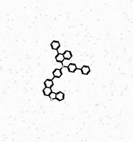 c1ccc(-c2ccc(N(c3ccc(-c4ccc5ccc6oc7ccccc7c6c5c4)cc3)c3ccc(-c4ccccc4)c4ccccc34)cc2)cc1